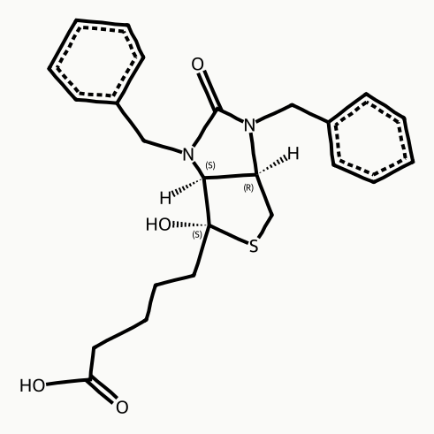 O=C(O)CCCC[C@]1(O)SC[C@H]2[C@@H]1N(Cc1ccccc1)C(=O)N2Cc1ccccc1